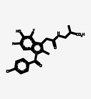 Cc1c(CC(=O)NCC(C)C(=O)O)c2c(F)c(O)c(F)cc2n1C(=O)c1ccc(Cl)cc1